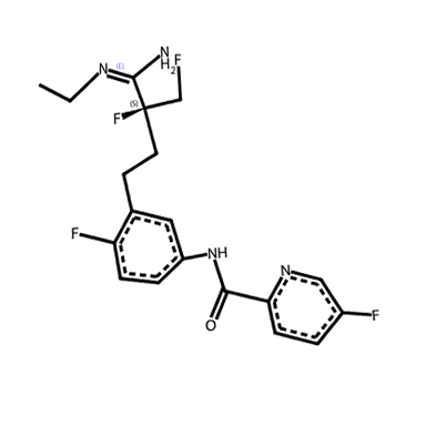 CC/N=C(/N)[C@](F)(CF)CCc1cc(NC(=O)c2ccc(F)cn2)ccc1F